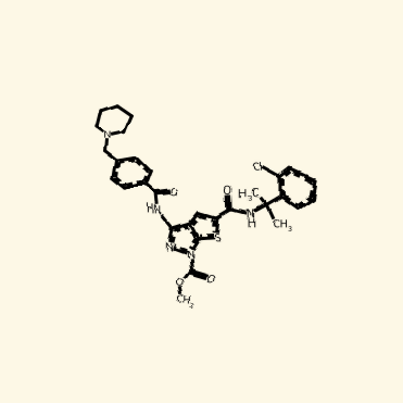 COC(=O)n1nc(NC(=O)c2ccc(CN3CCCCC3)cc2)c2cc(C(=O)NC(C)(C)c3ccccc3Cl)sc21